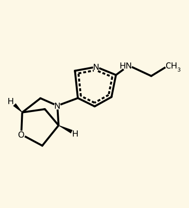 CCNc1ccc(N2C[C@@H]3C[C@H]2CO3)cn1